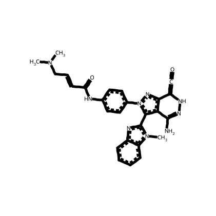 CN(C)C/C=C/C(=O)Nc1ccc(-n2nc3c(c2-c2nc4ccccc4n2C)C(N)=NNC3=C=O)cc1